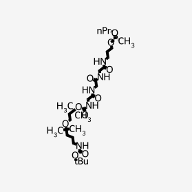 CCCOP(C)OCCCNC(=O)CNC(=O)CNC(=O)CNC(=O)OC(C)(C)CCOC(C)(C)CCCNC(=O)OC(C)(C)C